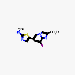 CCOC(=O)c1cn2cc(-c3cnc(N[C@H](C)CC)s3)cc(I)c2n1